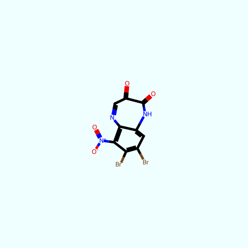 O=c1cnc2c([N+](=O)[O-])c(Br)c(Br)cc2[nH]c1=O